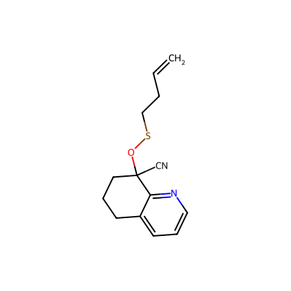 C=CCCSOC1(C#N)CCCc2cccnc21